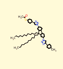 CCCCCCCCCCCCC1(CCCCCCCCCCCC)c2cc(-n3cc(-c4ccc(C)cc4)nn3)ccc2-c2ccc(-n3cc(-c4ccc(SC(C)=O)cc4)nn3)cc21